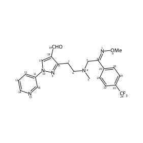 CO/N=C(/CN(C)CCc1nn(-c2cccnc2)cc1C=O)c1ccc(C(F)(F)F)cc1